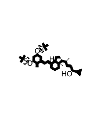 C=C1/C(=C/C=C2\CCC[C@]3(C)[C@@H]([C@H](C)C=CC(O)C4CC4)CC[C@@H]23)C[C@@H](O[Si](C)(C)C(C)(C)C)C[C@@H]1O[Si](C)(C)C(C)(C)C